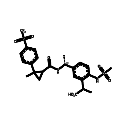 CC(C(=O)O)c1cc([C@@H](C)NC(=O)C2CC2(C)c2ccc(S(=O)(=O)C(F)(F)F)cc2)ccc1NS(C)(=O)=O